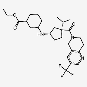 CCOC(=O)C1CCCC(N[C@@H]2CC[C@@](C(=O)N3CCc4ncc(C(F)(F)F)cc4C3)(C(C)C)C2)C1